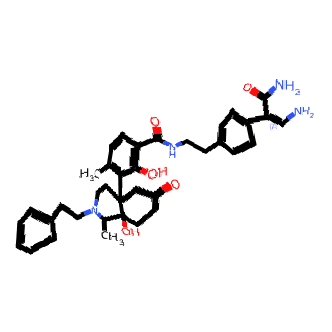 Cc1ccc(C(=O)NCCc2ccc(/C(=C/N)C(N)=O)cc2)c(O)c1C12CCN(CCc3ccccc3)C(C)C1(O)CCC(=O)C2